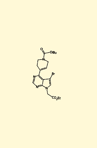 CCOC(=O)Cn1cc(Br)c2c(C3=CCN(C(=O)OCC(C)C)CC3)ncnc21